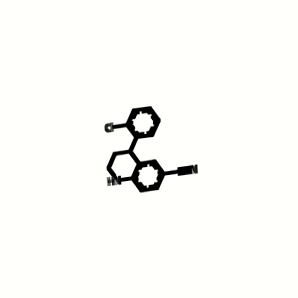 N#Cc1ccc2c(c1)C(c1ccccc1Cl)CCN2